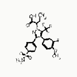 CCC(C(=O)O)n1nc(-c2ccc(S(N)(=O)=O)cc2)c(-c2ccc(OC)c(F)c2)c1C(F)(F)F